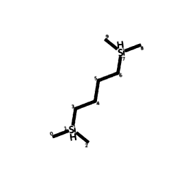 C[SiH](C)CCCC[SiH](C)C